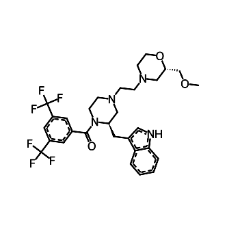 COC[C@@H]1CN(CCN2CCN(C(=O)c3cc(C(F)(F)F)cc(C(F)(F)F)c3)[C@H](Cc3c[nH]c4ccccc34)C2)CCO1